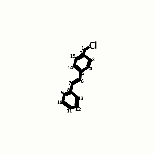 ClCc1ccc(/C=C/c2ccccc2)cc1